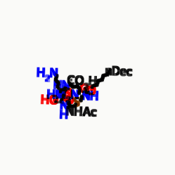 CCCCCCCCCCCCCCCCOC(=O)NCCSC[C@@H](NC(C)=O)C(=O)N[C@H](CO)C(=O)N[C@@H](CCCCN)C(=O)N[C@@H](CCCCN)C(=O)O